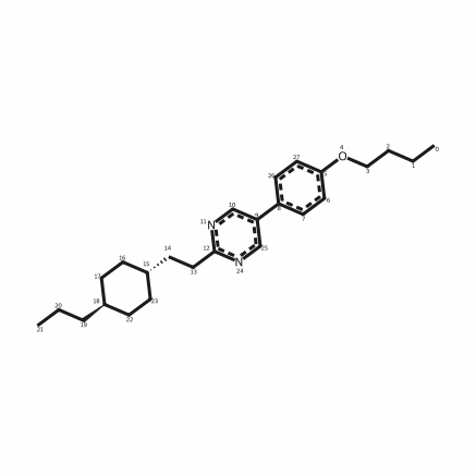 CCCCOc1ccc(-c2cnc(CC[C@H]3CC[C@H](CCC)CC3)nc2)cc1